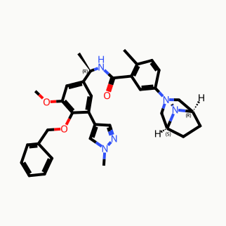 COc1cc([C@@H](C)NC(=O)c2cc(N3C[C@H]4CC[C@@H](C3)N4C)ccc2C)cc(-c2cnn(C)c2)c1OCc1ccccc1